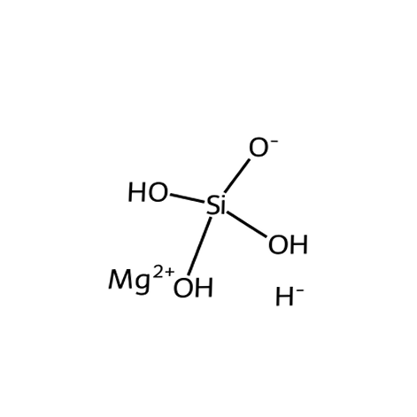 [H-].[Mg+2].[O-][Si](O)(O)O